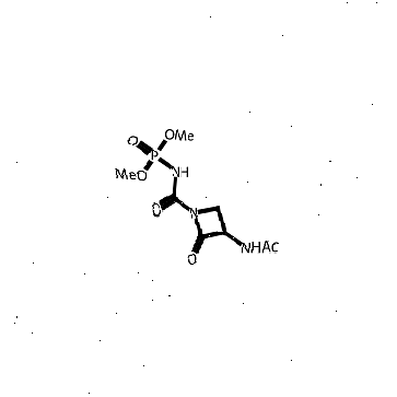 COP(=O)(NC(=O)N1CC(NC(C)=O)C1=O)OC